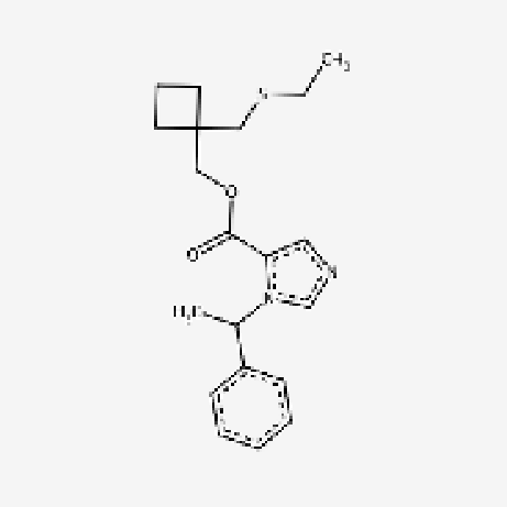 CCSCC1(COC(=O)c2cncn2C(C)c2ccccc2)CCC1